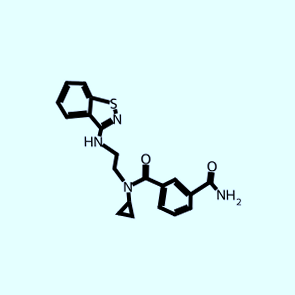 NC(=O)c1cccc(C(=O)N(CCNc2nsc3ccccc23)C2CC2)c1